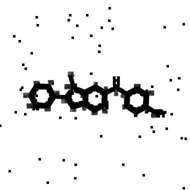 CC(C)c1ccc(Nc2cc3c(cn2)cc(-c2cccnc2)n3C)cc1